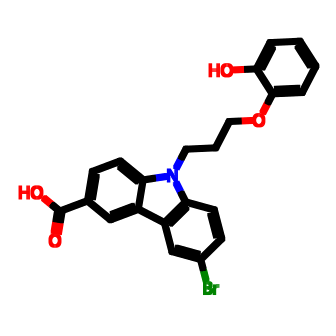 O=C(O)c1ccc2c(c1)c1cc(Br)ccc1n2CCCOc1ccccc1O